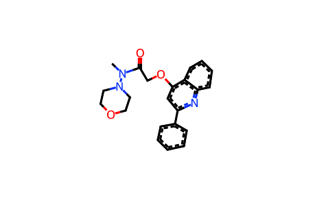 CN(C(=O)COc1cc(-c2ccccc2)nc2ccccc12)N1CCOCC1